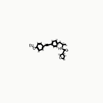 CCOc1ccc(C#Cc2ccc(CC(C)NC(=O)C3CCOC3)cc2)cc1